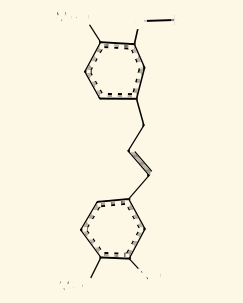 CCOc1cc(CC=Cc2ccc(OC)c([N+](=O)[O-])c2)ccc1OC